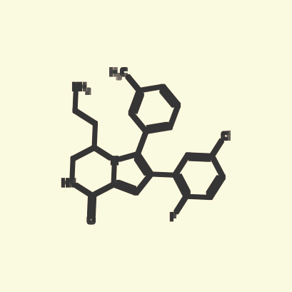 Cc1cccc(-c2c(-c3cc(Cl)ccc3F)cc3n2C(CCN)CNC3=O)c1